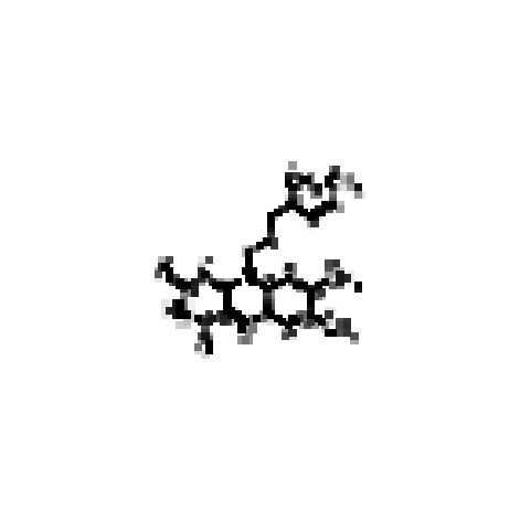 C=C(/C=C\C)CCCn1c2nc(=O)[nH]c(=O)c-2nc2cc(C)c(C)cc21